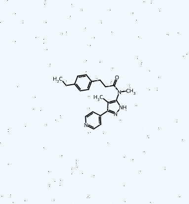 CCc1ccc(CCC(=O)N(C)c2[nH]nc(-c3ccncc3)c2C)cc1